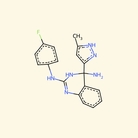 Cc1cc(C2(N)NC(Nc3ccc(F)cc3)=Nc3ccccc32)n[nH]1